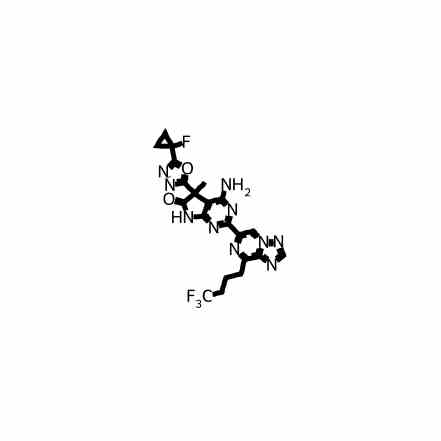 CC1(c2nnc(C3(F)CC3)o2)C(=O)Nc2nc(-c3cn4ncnc4c(CCCC(F)(F)F)n3)nc(N)c21